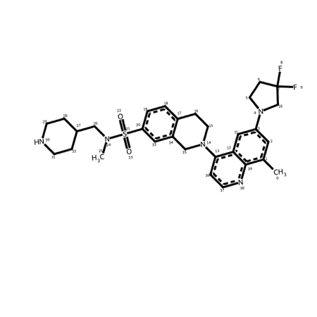 Cc1cc(N2CCC(F)(F)C2)cc2c(N3CCc4ccc(S(=O)(=O)N(C)CC5CCNCC5)cc4C3)ccnc12